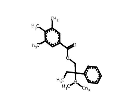 CCC(COC(=O)c1cc(C)c(C)c(C)c1)(c1ccccc1)N(C)C